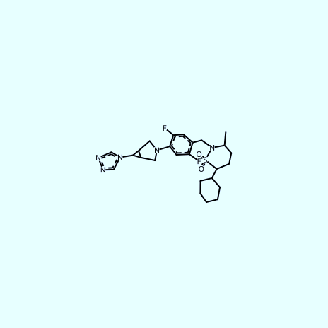 CC1CCC(C2CCCCC2)S(=O)(=O)N1Cc1cc(F)c(N2CC3C(C2)C3n2cnnc2)cc1F